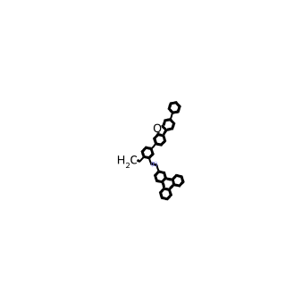 C=Cc1ccc(-c2ccc3c(c2)oc2cc(-c4ccccc4)ccc23)cc1/C=C/c1ccc2c3ccccc3c3ccccc3c2c1